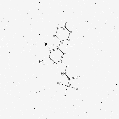 Cl.O=C(NCc1ccc(F)c(C2CCNCC2)c1)C(F)(F)F